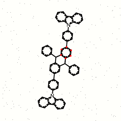 c1ccc(C23c4ccccc4C(c4ccccc4)(c4ccc(-c5ccc(-n6c7ccccc7c7ccccc76)cc5)cc42)c2cc(-c4ccc(-n5c6ccccc6c6ccccc65)cc4)ccc23)cc1